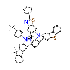 CC(C)(C)c1ccc(Nc2cc3c(cc2-c2ccc4c5cc6sc7ccccc7c6cc5n5c4c2Bc2cc4nc(-c6ccccc6)sc4cc2-5)-c2ccccc2C3(C)C)cc1